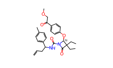 C=CCC(NC(=O)N1C(=O)C(CC)(CC)[C@@H]1Oc1ccc(C(=O)COC)cc1)c1ccc(C)cc1